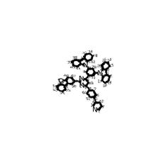 c1cncc(-c2ccc(-c3cc(-c4cc(-n5c6ccccc6c6ccccc65)cc(-n5c6ccccc6c6ccccc65)c4)nc(-c4ccc5oc6ccccc6c5c4)n3)cc2)c1